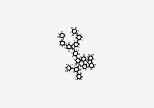 c1ccc(-c2cccc(-c3ccc4c(c3)c3cc(-c5cccc(-c6ccccc6)c5)ccc3n4-c3ccc(-c4ccc(N(c5cc(-c6ccccc6)cc(-c6ccccc6)c5)c5cccc6c5-c5ccccc5C65c6ccccc6-c6ccccc65)cc4)cc3)c2)cc1